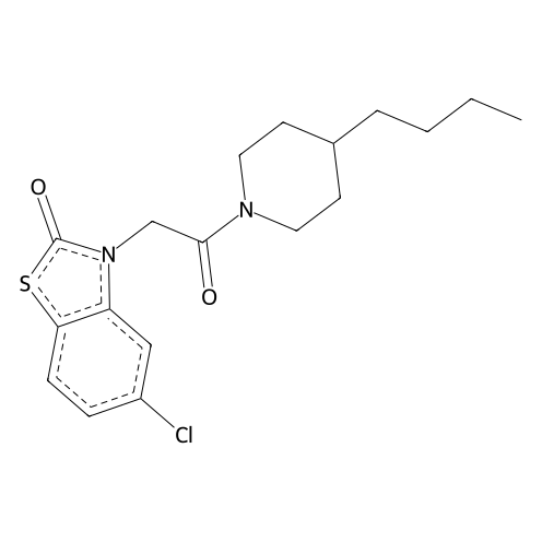 CCCCC1CCN(C(=O)Cn2c(=O)sc3ccc(Cl)cc32)CC1